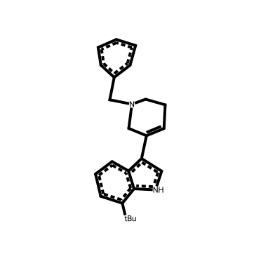 CC(C)(C)c1cccc2c(C3=CCCN(Cc4ccccc4)C3)c[nH]c12